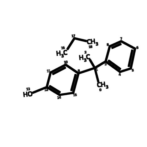 CC(C)(c1ccccc1)c1ccc(O)cc1.CCC